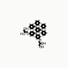 O/C=C(/O)COc1ccc(N(c2ccc(OCC(O)CO)cc2)c2cc(N(c3ccccc3)c3ccccc3)cc(N(c3ccccc3)c3ccccc3)c2)cc1